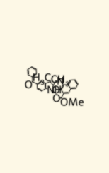 COC(=O)c1cc2ccccc2c2c1OC1(C=N2)Nc2ccc(C(=O)c3ccccc3)cc2C1(C)C